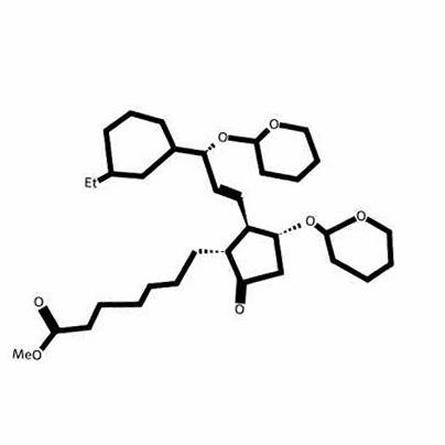 CCC1CCCC([C@@H](C=C[C@H]2[C@H](OC3CCCCO3)CC(=O)[C@@H]2CCCCCCC(=O)OC)OC2CCCCO2)C1